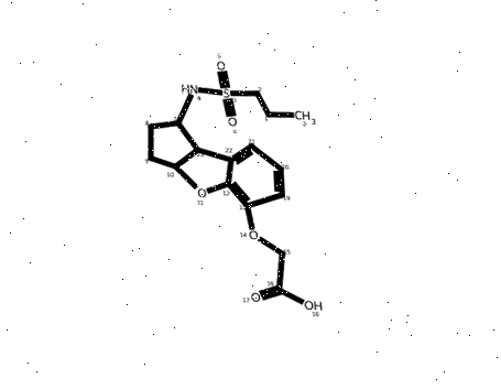 CCCS(=O)(=O)NC1CCC2Oc3c(OCC(=O)O)cccc3C12